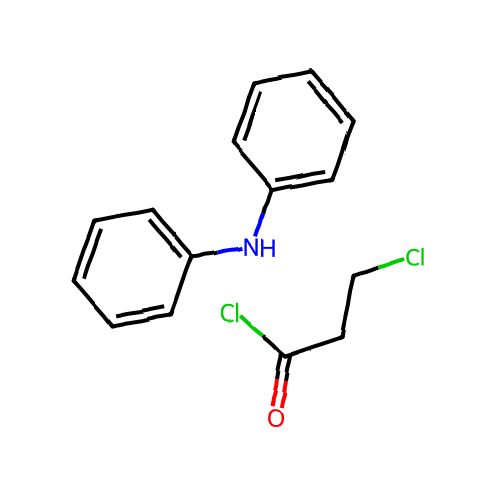 O=C(Cl)CCCl.c1ccc(Nc2ccccc2)cc1